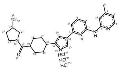 Cc1ccnc(Nc2cccc(-c3cnc(C4CCC(C(=O)N5CCC(N)C5)CC4)s3)n2)c1.Cl.Cl.Cl